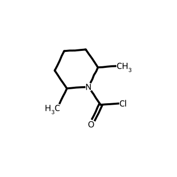 CC1CCCC(C)N1C(=O)Cl